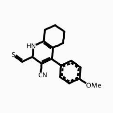 COc1ccc(C2=C(C#N)C(C=S)NC3=C2CCCC3)cc1